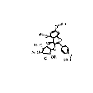 CCCCOc1ccc(-c2oc3cc(OCCCC)cc(OCCCC)c3c(=O)c2O[C@@H]2C[C@@H](C)[C@H](OC(C)=O)[C@@H](O)[C@H]2O)cc1